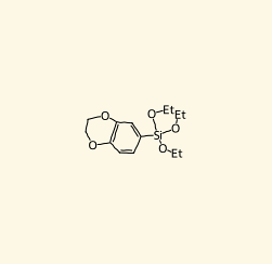 CCO[Si](OCC)(OCC)c1ccc2c(c1)OCCO2